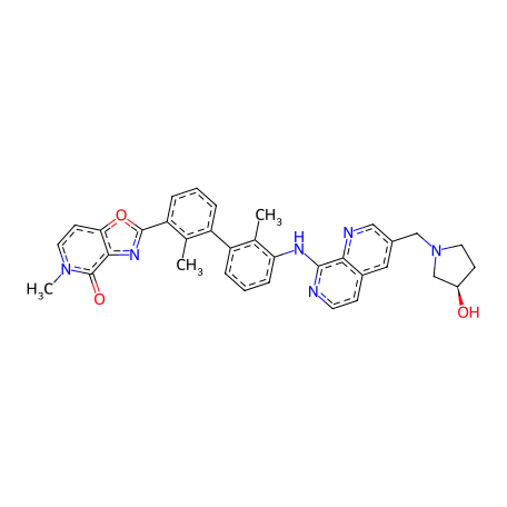 Cc1c(Nc2nccc3cc(CN4CC[C@@H](O)C4)cnc23)cccc1-c1cccc(-c2nc3c(=O)n(C)ccc3o2)c1C